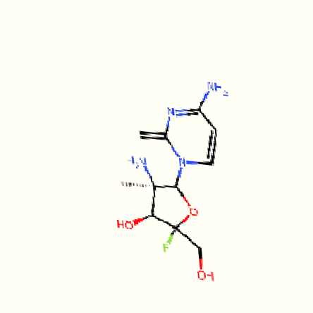 C=C1N=C(N)C=CN1C1O[C@](F)(CO)[C@@H](O)[C@@]1(C)N